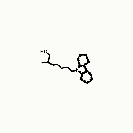 CC(CO)CCCCCn1c2ccccc2c2ccccc21